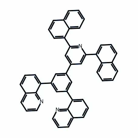 c1ccc2c(-c3cc(-c4cc(-c5cccc6cccnc56)cc(-c5cccc6cccnc56)c4)cc(-c4cccc5ccccc45)n3)cccc2c1